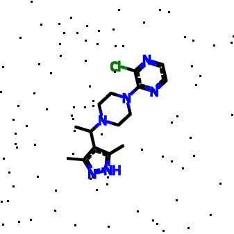 Cc1n[nH]c(C)c1C(C)N1CCN(c2nccnc2Cl)CC1